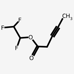 CC#CCC(=O)OC(F)C(F)F